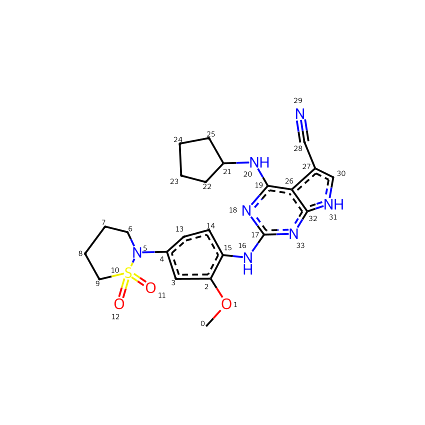 COc1cc(N2CCCCS2(=O)=O)ccc1Nc1nc(NC2CCCC2)c2c(C#N)c[nH]c2n1